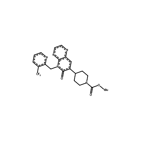 CC(C)(C)OC(=O)N1CCC(c2cc3nccnc3n(Cc3ncccc3C(F)(F)F)c2=O)CC1